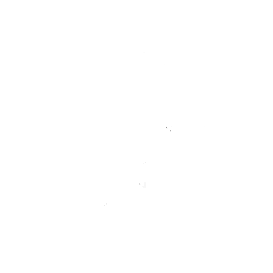 O=C(O)CNC(=O)Cc1csc(-c2cccc(Cl)c2)n1